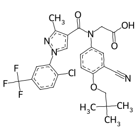 Cc1nn(-c2cc(C(F)(F)F)ccc2Cl)cc1C(=O)N(CC(=O)O)c1ccc(OCC(C)(C)C)c(C#N)c1